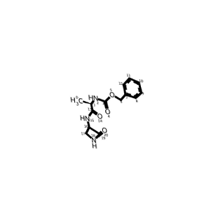 C[C@@H](NC(=O)OCc1ccccc1)C(=O)NC1CNC1=O